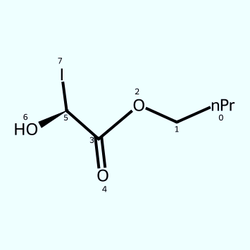 CCCCOC(=O)[C@@H](O)I